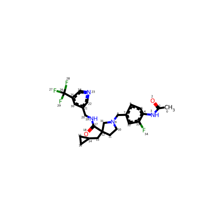 CC(=O)Nc1ccc(CN2CCC(CC3CC3)(C(=O)NCc3cncc(C(F)(F)F)c3)C2)cc1F